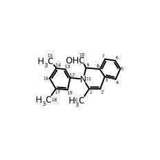 CC1=Cc2ccccc2C(C=O)N1c1cc(C)cc(C)c1